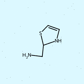 NCC1NC=CS1